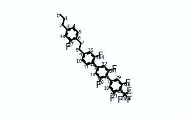 CCCc1ccc(CCc2ccc(-c3cc(F)c(-c4cc(F)c(C(F)(F)F)c(F)c4)c(F)c3)c(F)c2)c(F)c1